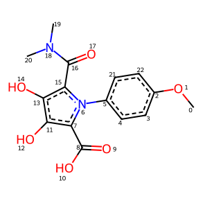 COc1ccc(-n2c(C(=O)O)c(O)c(O)c2C(=O)N(C)C)cc1